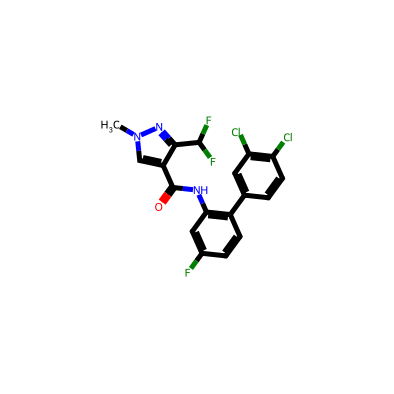 Cn1cc(C(=O)Nc2cc(F)ccc2-c2ccc(Cl)c(Cl)c2)c(C(F)F)n1